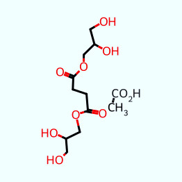 CC(=O)O.O=C(CCC(=O)OCC(O)CO)OCC(O)CO